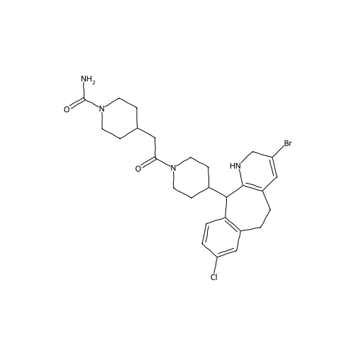 NC(=O)N1CCC(CC(=O)N2CCC(C3C4=C(C=C(Br)CN4)CCc4cc(Cl)ccc43)CC2)CC1